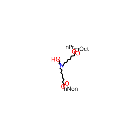 CCCCCCCCCOC(=O)CCCCCCCN(CCO)CCCCCCCC(=O)OC(CCC)CCCCCCCC